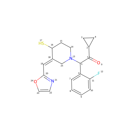 O=C(C1CC1)C(c1ccccc1F)N1CCC(S)C(=Cc2ncco2)C1